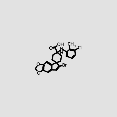 Cc1c(Cl)cccc1NC1(C(=O)O)CCC2(CC1)C(Br)=Cc1cc3c(cc12)OCO3